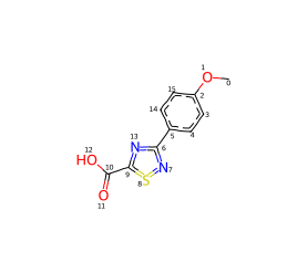 COc1ccc(-c2nsc(C(=O)O)n2)cc1